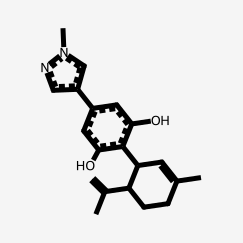 C=C(C)C1CCC(C)=CC1c1c(O)cc(-c2cnn(C)c2)cc1O